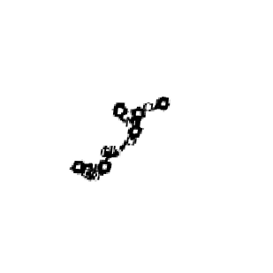 CS(=O)(=O)N(Cc1ccccc1)c1cccc(C(=O)CNCCOc2ccc3c4cc(OCc5ccccc5)ccc4n(Cc4ccccc4)c3c2)c1